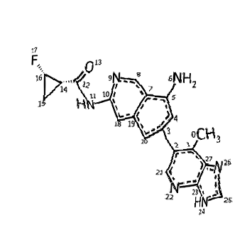 Cc1c(-c2cc(N)c3cnc(NC(=O)[C@@H]4C[C@@H]4F)cc3c2)cnc2[nH]cnc12